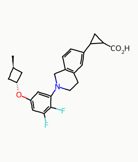 C[C@H]1C[C@H](Oc2cc(F)c(F)c(N3CCc4cc(C5CC5C(=O)O)ccc4C3)c2)C1